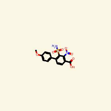 COc1ccc(-c2ccc(C(=O)O)c([N+](=O)[O-])c2S(N)(=O)=O)cc1